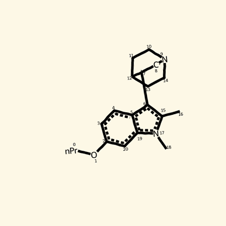 CCCOc1ccc2c([C]3[CH]N4CCC3CC4)c(C)n(C)c2c1